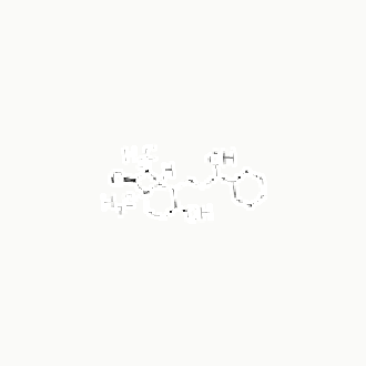 CC1C(=O)[C@]2(C)CC[C@H](O)[C@@H](CC[C@@H](O)C3CCCCC3)[C@H]12